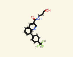 O=C(NCCCO)c1cnc2c(C3=CCC(C(F)(F)F)CC3)cccc2c1